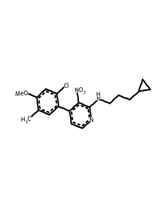 COc1cc(Cl)c(-c2ccnc(NCCCC3CC3)c2[N+](=O)[O-])cc1C